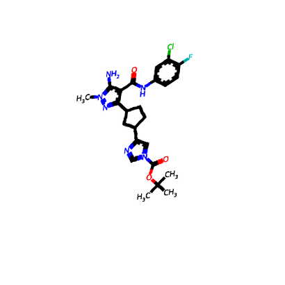 Cn1nc(C2CCC(c3cn(C(=O)OC(C)(C)C)cn3)C2)c(C(=O)Nc2ccc(F)c(Cl)c2)c1N